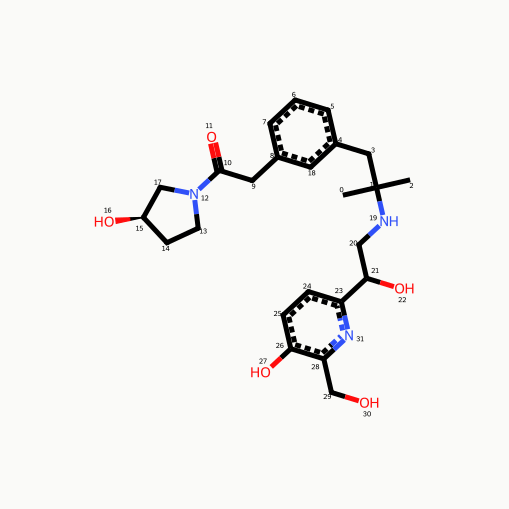 CC(C)(Cc1cccc(CC(=O)N2CC[C@@H](O)C2)c1)NCC(O)c1ccc(O)c(CO)n1